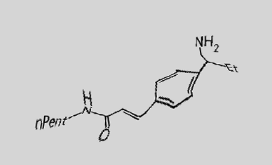 CCCCCNC(=O)/C=C/c1ccc(C(N)CC)cc1